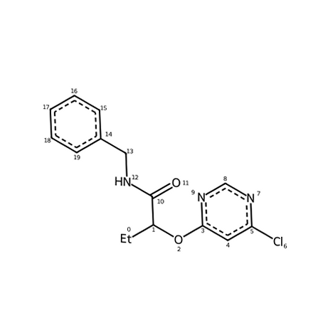 CCC(Oc1cc(Cl)ncn1)C(=O)NCc1ccccc1